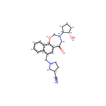 N#CC1CCN(Cc2cc3c(c4ccccc24)OCN(C2CCC[C@@H]2O)CC3=O)C1